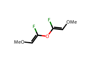 CO/C=C(\F)O/C(F)=C/OC